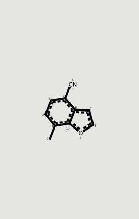 Cc1ccc(C#N)c2ccoc12